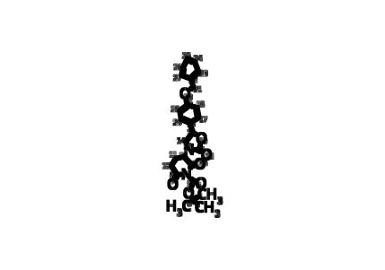 CC(C)(C)OC(=O)N1C(=O)CCC(N2CC(c3ccc(OCc4ccccc4)cc3)OC2=O)C1=O